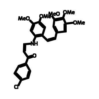 COc1cc(/C=C\c2cc(OC)c(OC)c(OC)c2)c(N/C=C\C(=O)c2ccc(Cl)cc2)cc1OC